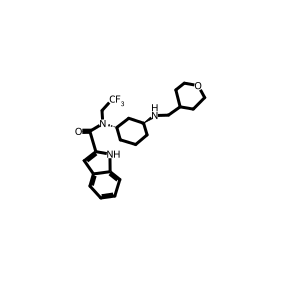 O=C(c1cc2ccccc2[nH]1)N(CC(F)(F)F)[C@H]1CCC[C@H](NCC2CCOCC2)C1